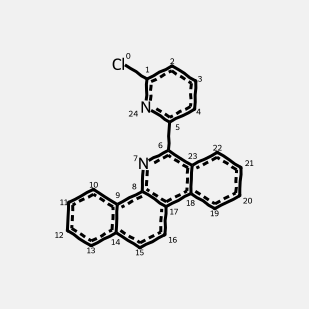 Clc1cccc(-c2nc3c4ccccc4ccc3c3ccccc23)n1